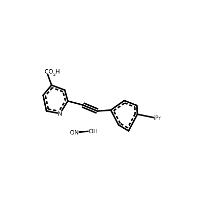 CC(C)c1ccc(C#Cc2cc(C(=O)O)ccn2)cc1.O=NO